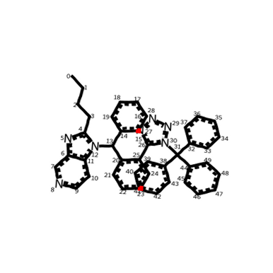 CCCCc1nc2cnccc2n1C(c1ccccc1)c1ccccc1-c1nnnn1C(c1ccccc1)(c1ccccc1)c1ccccc1